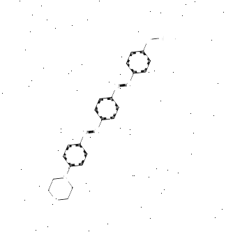 CCCCCCOc1ccc(N=Nc2ccc(N=Nc3ccc(N4CCOCC4)cc3)cc2)cc1